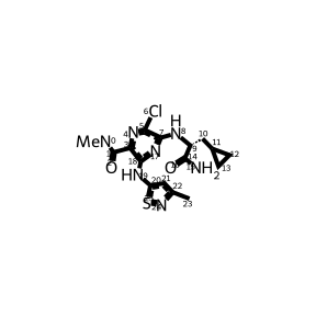 CNC(=O)c1nc(Cl)c(N[C@H](CC2CC2)C(N)=O)nc1Nc1cc(C)ns1